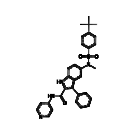 CN(c1ccc2[nH]c(C(=O)Nc3ccncc3)c(-c3ccccc3)c2c1)S(=O)(=O)c1ccc(C(C)(C)C)cc1